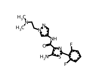 CN(C)CCn1cc(NC(=O)c2nc(-c3c(F)cccc3F)sc2N)cn1